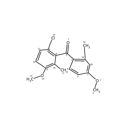 COc1ccc(C(=O)c2c(Cl)ccc(OC)c2C)c(C)c1